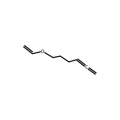 C=C=CCCCOC=C